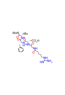 CCCC[C@H](NC(=O)[C@@H](Cc1ccccc1)NC(=O)[C@H](CC(=O)O)NC(=O)CNC(=O)CCCCNC(=N)N)C(=O)NC